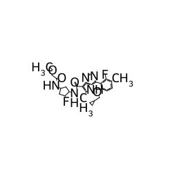 COCC(=O)NC1CC(F)C(NC(=O)c2c(C)[nH]c3c(-c4c(OCC5CC5)ccc(C)c4F)ncnc23)C1